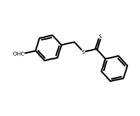 O=[C]c1ccc(CSC(=S)c2ccccc2)cc1